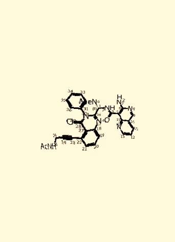 CN[C@H](NC(=O)c1c(N)ncc2cccnc12)c1nc2cccc(C#CCNC(C)=O)c2c(=O)n1-c1ccccc1